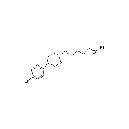 CCOCCCCCC1CCC(c2ccc(Cl)cc2)CC1